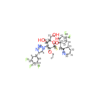 CCO[C@@H]1[C@@H](n2cc(-c3cc(F)c(F)c(F)c3)nn2)[C@@H](O)[C@@H](CO)O[C@H]1S[C@@H](c1ncccc1C)C1(O)CCC(F)(F)CC1